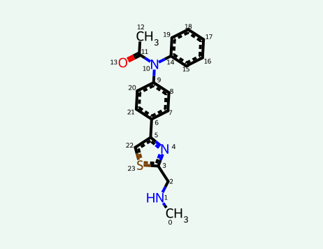 CNCc1nc(-c2ccc(N(C(C)=O)c3ccccc3)cc2)cs1